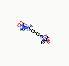 COC(=O)N[C@H](C(=O)N1[C@@H]2C[C@@H]2C[C@H]1c1nc(-c2ccc(-c3ccc(-c4nc([C@@H]5CC6CC6N5C(=O)[C@@H](NC(OC)OC)C(C)C)[nH]c4C#N)cc3)cc2)c[nH]1)C(C)C